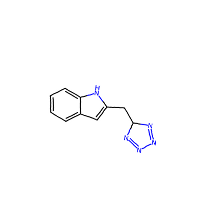 c1ccc2[nH]c(CC3N=NN=N3)cc2c1